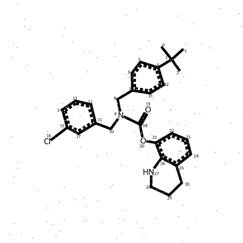 CC(C)(C)c1ccc(CN(Cc2cccc(Cl)c2)C(=O)Oc2cccc3c2NCCC3)cc1